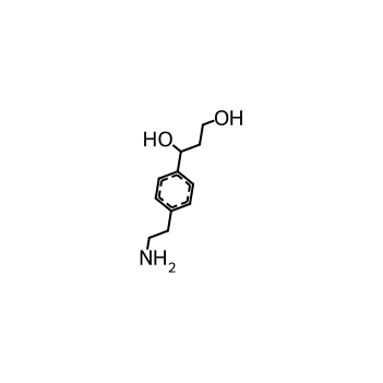 NCCc1ccc(C(O)CCO)cc1